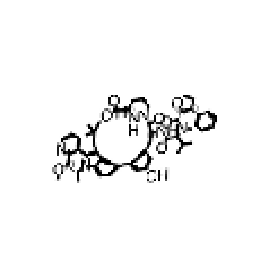 CCn1c(-c2cccnc2[C@H](C)OC)c2c3cc(ccc31)-c1cc(O)cc(c1)C[C@H](NC(=O)C(C(C)C)N(C)C(=O)[C@@H]1OCC[C@H]1c1ccccc1)C(=O)N1CCC[C@H](N1)C(=O)OCC(C)(C)C2